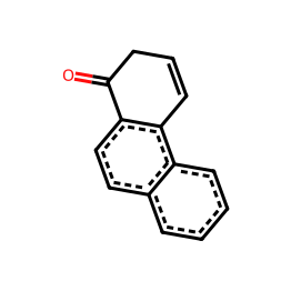 O=C1CC=Cc2c1ccc1ccccc21